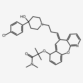 CN(C)C(=O)C(C)(C)OC1C=CC=C2Oc3ncccc3C(=CCCN3CCC(O)(c4ccc(Cl)cc4)CC3)C=C21